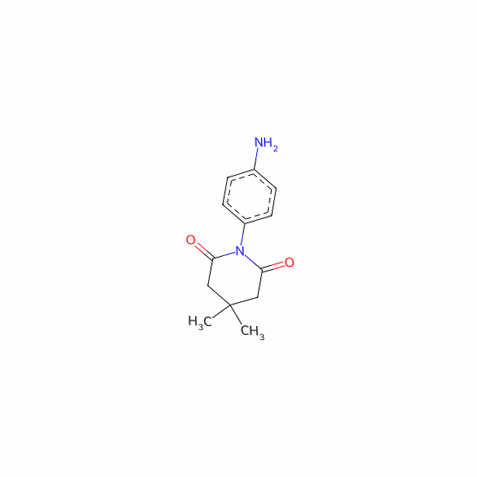 CC1(C)CC(=O)N(c2ccc(N)cc2)C(=O)C1